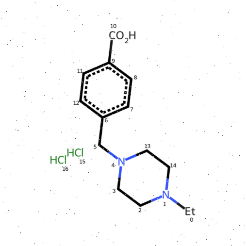 CCN1CCN(Cc2ccc(C(=O)O)cc2)CC1.Cl.Cl